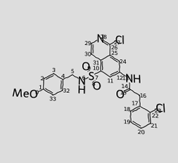 COc1ccc(CNS(=O)(=O)c2cc(NC(=O)Cc3ccccc3Cl)cc3c(Cl)nccc23)cc1